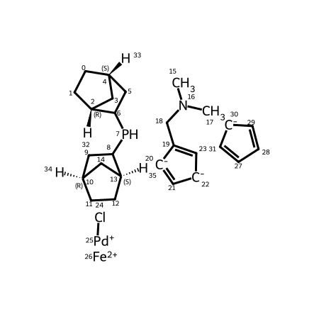 C1C[C@@H]2C[C@H]1CC2PC1C[C@@H]2CC[C@H]1C2.CN(C)Cc1[c-]c[cH-]c1.[Cl][Pd+].[Fe+2].c1cc[cH-]c1